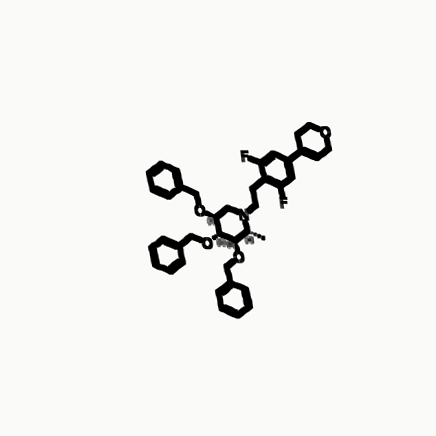 C[C@@H]1[C@@H](OCc2ccccc2)[C@H](OCc2ccccc2)[C@@H](OCc2ccccc2)CN1CCc1c(F)cc(C2=CCOCC2)cc1F